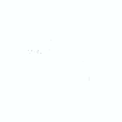 CNC(=O)Cc1cccc(OC(F)(F)F)c1